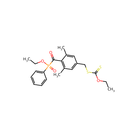 CCOC(=S)SCc1cc(C)c(C(=O)P(=O)(OCC)c2ccccc2)c(C)c1